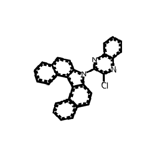 Clc1nc2ccccc2nc1-n1c2ccc3ccccc3c2c2c3ccccc3ccc21